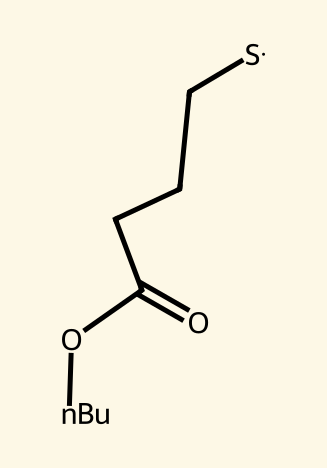 CCCCOC(=O)CCC[S]